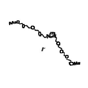 COCCOCCOCCOCCn1cc[n+](CCOCCOCCOCCOC)c1.[I-]